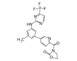 Cc1cc(Nc2nccc(C(F)(F)F)n2)cc(-c2ccc(C(=O)N3CCOC3=O)nc2)c1